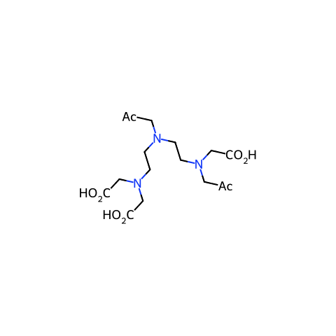 CC(=O)CN(CCN(CC(C)=O)CC(=O)O)CCN(CC(=O)O)CC(=O)O